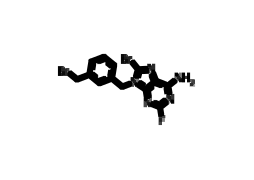 Nc1nc(F)nc2c1nc(Br)n2Cc1cccc(CBr)c1